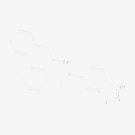 O=C(NC(Cc1ccccc1)c1ccccc1)c1ccc2[nH]nnc2c1